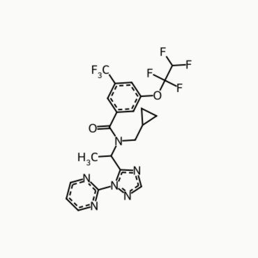 CC(c1ncnn1-c1ncccn1)N(CC1CC1)C(=O)c1cc(OC(F)(F)C(F)F)cc(C(F)(F)F)c1